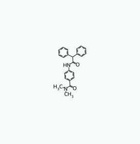 CN(C)C(=O)c1ccc(NC(=O)C(c2ccccc2)c2ccccc2)cc1